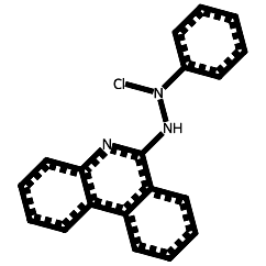 ClN(Nc1nc2ccccc2c2ccccc12)c1ccccc1